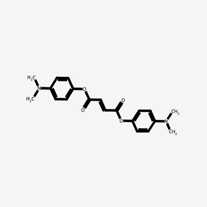 CN(C)c1ccc(OC(=O)/C=C/C(=O)Oc2ccc(N(C)C)cc2)cc1